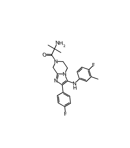 Cc1cc(Nc2c(-c3ccc(F)cc3)nc3n2CCN(C(=O)C(C)(C)N)C3)ccc1F